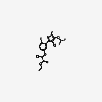 CCOC(=O)C(Cl)Oc1ccc(F)c(-c2nn(C)c(OC(F)F)c2Cl)c1